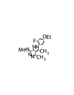 CCOc1ccc(-n2nc3c(NC)nnc(C)c3c2C)c(F)c1